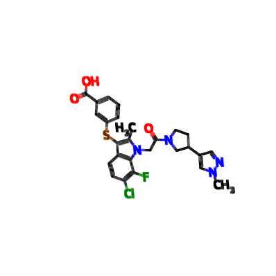 Cc1c(Sc2cccc(C(=O)O)c2)c2ccc(Cl)c(F)c2n1CC(=O)N1CCC(c2cnn(C)c2)C1